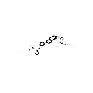 COC(=O)N[C@H](C(=O)N1CCC[C@H]1c1nc2ccc(-c3ccc4c(ccc5[nH]c([C@@H]6CCCN6C(=O)[C@@H](NC(=O)OC)C(C)C)nc54)c3)cc2[nH]1)C(C)C